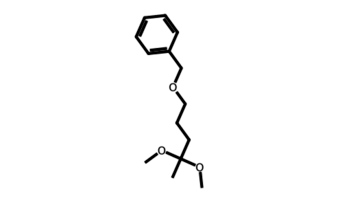 COC(C)(CCCOCc1ccccc1)OC